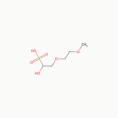 COCCOCC(O)S(=O)(=O)O